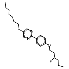 CCCCCCCCc1cnc(-c2ccc(OCCC(F)CCC)cc2)nc1